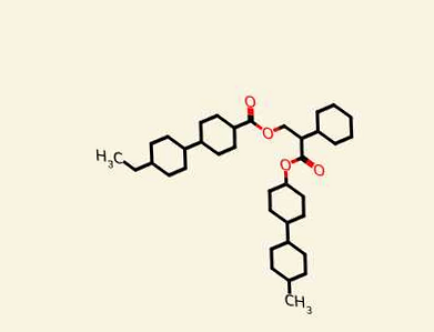 CCC1CCC(C2CCC(C(=O)OCC(C(=O)OC3CCC(C4CCC(C)CC4)CC3)C3CCCCC3)CC2)CC1